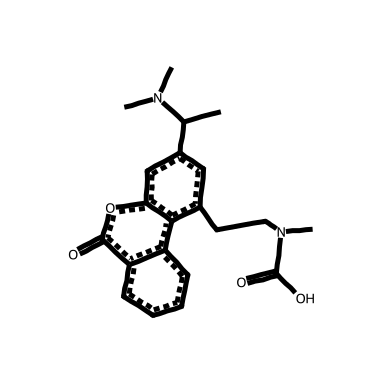 CC(c1cc(CCN(C)C(=O)O)c2c(c1)oc(=O)c1ccccc12)N(C)C